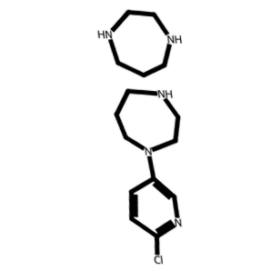 C1CNCCNC1.Clc1ccc(N2CCCNCC2)cn1